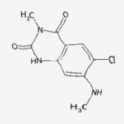 CNc1cc2[nH]c(=O)n(C)c(=O)c2cc1Cl